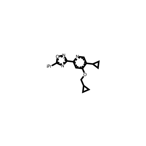 CC(C)c1nc(-c2cc(OCC3CC3)c(C3CC3)cn2)no1